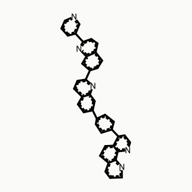 c1cncc(-c2ccc3ccc(-c4ccc5ccc(-c6ccc(-c7ccnc8c7ccc7cccnc78)cc6)cc5n4)cc3n2)c1